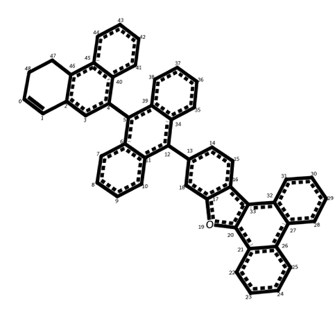 C1=Cc2cc(-c3c4ccccc4c(-c4ccc5c(c4)oc4c6ccccc6c6ccccc6c54)c4ccccc34)c3ccccc3c2CC1